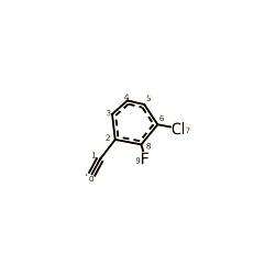 [C]#Cc1cccc(Cl)c1F